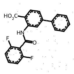 O=C(O)c1ccc(-c2ccccc2)cc1NC(=O)c1c(F)cccc1F